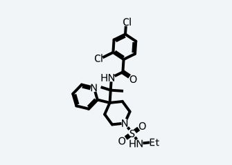 CCNS(=O)(=O)N1CCC(c2ccccn2)(C(C)(C)NC(=O)c2ccc(Cl)cc2Cl)CC1